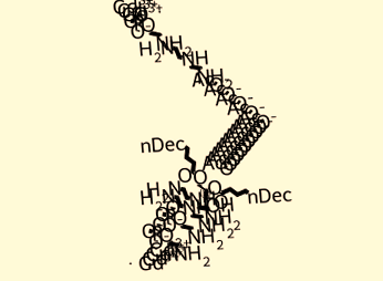 CC(=O)[O-].CC(=O)[O-].CC(=O)[O-].CC(=O)[O-].CC(=O)[O-].CC(=O)[O-].CC(=O)[O-].CC(=O)[O-].CC(=O)[O-].CC(=O)[O-].CC(=O)[O-].CC(=O)[O-].CC(=O)[O-].CC(=O)[O-].CC(=O)[O-].CCCCCCCCCCCCCC(=O)OC[C@H](CO)OC(=O)CCCCCCCCCCCCC.NCCNCCN.NCCNCCN.NCCNCCN.NCCOP(=O)([O-])[O-].NCCOP(=O)([O-])[O-].NCCOP(=O)([O-])[O-].[Gd+3].[Gd+3].[Gd+3].[Gd+3].[Gd+3].[Gd+3].[Gd+3]